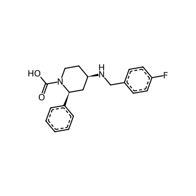 O=C(O)N1CC[C@@H](NCc2ccc(F)cc2)C[C@H]1c1ccccc1